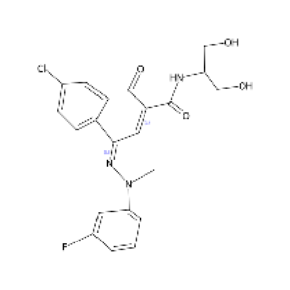 CN(/N=C(\C=C(/C=O)C(=O)NC(CO)CO)c1ccc(Cl)cc1)c1cccc(F)c1